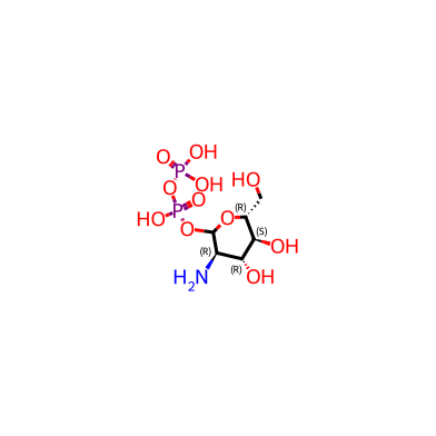 N[C@H]1C(OP(=O)(O)OP(=O)(O)O)O[C@H](CO)[C@@H](O)[C@@H]1O